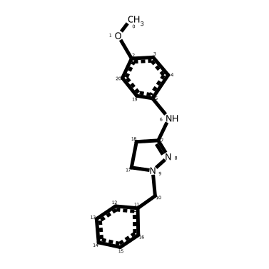 COc1ccc(NC2=NN(Cc3ccccc3)CC2)cc1